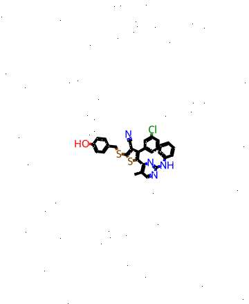 Cc1cnc(Nc2ccccc2)nc1-c1sc(SCc2ccc(O)cc2)c(C#N)c1-c1cccc(Cl)c1